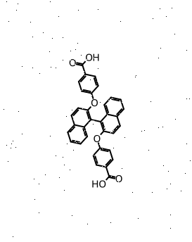 O=C(O)c1ccc(Oc2ccc3ccccc3c2-c2c(Oc3ccc(C(=O)O)cc3)ccc3ccccc23)cc1